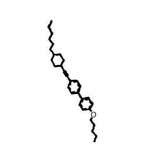 CCCCCCC1CCC(C#Cc2ccc(-c3ccc(OCCCCC)cc3)cc2)CC1